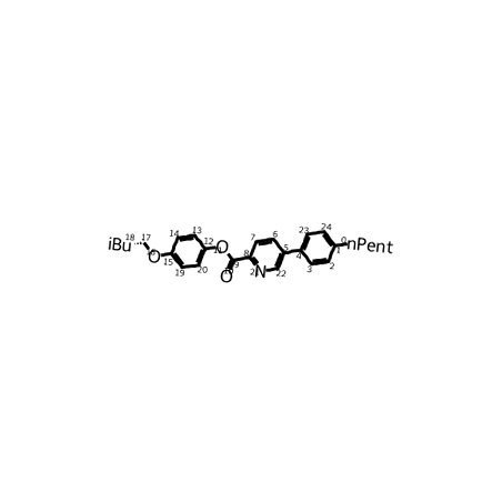 CCCCCc1ccc(-c2ccc(C(=O)Oc3ccc(OC[C@@H](C)CC)cc3)nc2)cc1